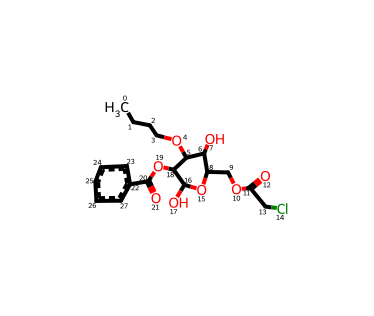 CCCCOC1C(O)C(COC(=O)CCl)OC(O)C1OC(=O)c1ccccc1